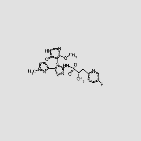 COc1nc[nH]c(=O)c1-n1c(NS(=O)(=O)[C@@H](C)Cc2ncc(F)cn2)nnc1-c1ccn(C)n1